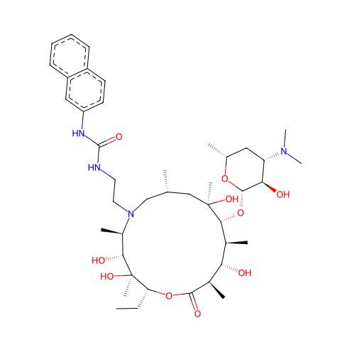 CC[C@H]1OC(=O)[C@H](C)[C@@H](O)[C@H](C)[C@@H](O[C@@H]2O[C@H](C)C[C@H](N(C)C)[C@H]2O)[C@](C)(O)C[C@@H](C)CN(CCNC(=O)Nc2ccc3ccccc3c2)[C@H](C)[C@@H](O)[C@]1(C)O